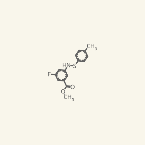 COC(=O)c1cc(F)cc(NSc2ccc(C)cc2)c1